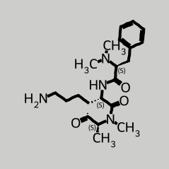 C[C@@H]([C]=O)N(C)C(=O)[C@H](CCCCN)NC(=O)[C@H](Cc1ccccc1)N(C)C